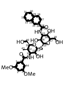 COc1cc(OC)cc(C(=O)NC2C(O)[C@H](S[C@@H]3OC(CO)[C@H](O)C(NC(=O)c4ccc5ccccc5c4)[C@@H]3O)O[C@H](CO)[C@@H]2C)c1